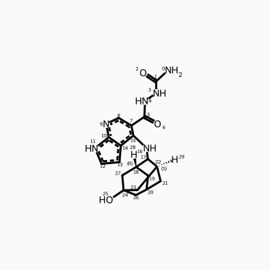 NC(=O)NNC(=O)c1cnc2[nH]ccc2c1NC1[C@@H]2CC3C[C@H]1CC(O)(C3)C2